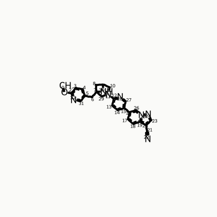 COc1ccc(CC23CC(CN(c4ccc(-c5ccc6c(C#N)cnn6c5)cn4)C2)N3)cn1